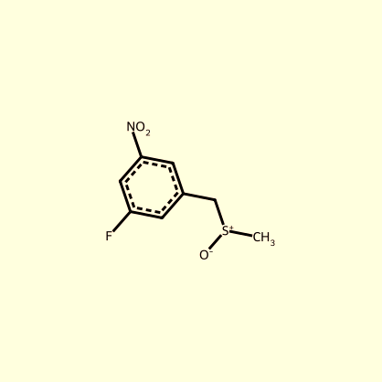 C[S+]([O-])Cc1cc(F)cc([N+](=O)[O-])c1